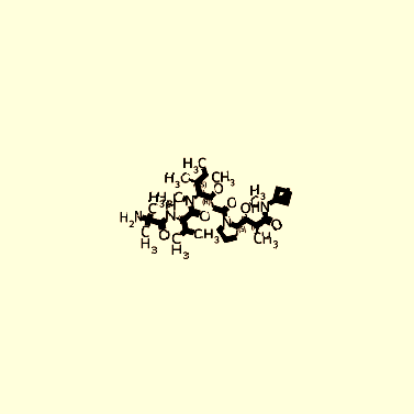 CC[C@H](C)[C@@H]([C@@H](CC(=O)N1CCC[C@H]1[C@H](OC)[C@@H](C)C(=O)NC12CC(C1)C2)OC)N(C)C(=O)[C@@H](NC(=O)C(C)(C)N)C(C)C